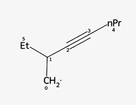 [CH2]C(C#CCCC)CC